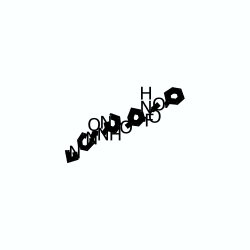 O=C(Nc1ccc(Oc2ccnc(NC(=O)N3CCC(N4CCC4)CC3)c2)cc1F)OCc1ccccc1